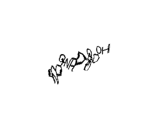 O=C(NCc1ccc(S(=O)(=O)N2CCC[C@@H](O)C2)cc1)c1ccc2nccn2c1